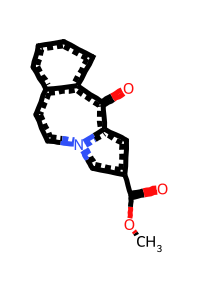 COC(=O)c1cc2c(=O)c3ccccc3ccn2c1